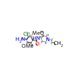 C=CCN1CC[C@H](NC(=O)c2cc(Cl)c(N)cc2OC)[C@H](OC)C1